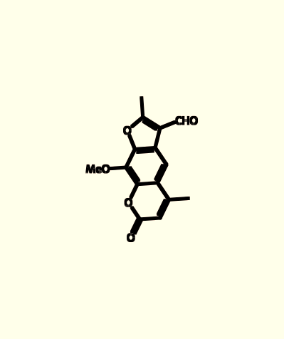 COc1c2oc(=O)cc(C)c2cc2c(C=O)c(C)oc12